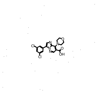 O=C(O)c1cnn2c(-c3cc(Cl)cc(Cl)c3)cnc2c1N1CCOCC1